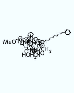 COCCOCCC(=O)N1CCC[C@H]1C(=O)N[C@@H](CC(C)C)C(=O)N[C@@H](Cc1cnc[nH]1)C(=O)N[C@@H](CO)C(=O)N[C@H](C(N)=O)[C@@H](C)OP(=O)(O)OCCCCCCCCCCc1ccccc1